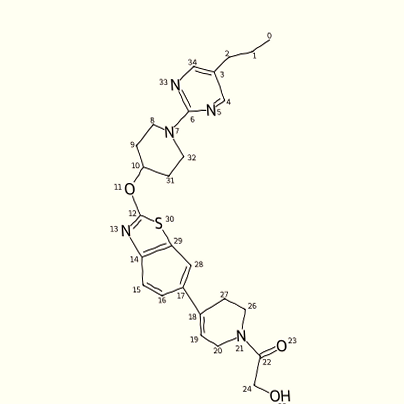 CCCc1cnc(N2CCC(Oc3nc4ccc(C5=CCN(C(=O)CO)CC5)cc4s3)CC2)nc1